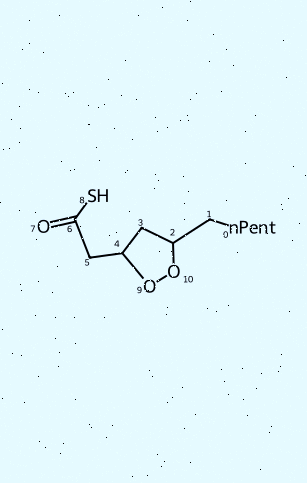 CCCCCCC1CC(CC(=O)S)OO1